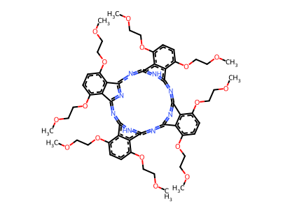 COCCOc1ccc(OCCOC)c2c1-c1nc-2nc2[nH]c(nc3nc(nc4[nH]c(n1)c1c(OCCOC)ccc(OCCOC)c41)-c1c(OCCOC)ccc(OCCOC)c1-3)c1c(OCCOC)ccc(OCCOC)c21